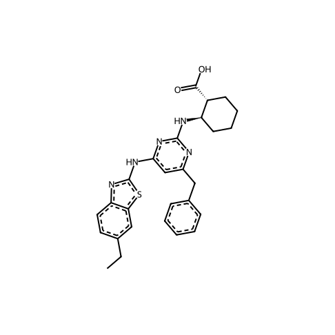 CCc1ccc2nc(Nc3cc(Cc4ccccc4)nc(N[C@@H]4CCCC[C@H]4C(=O)O)n3)sc2c1